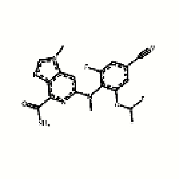 CN(c1cc2c(ncn2C)c(C(N)=O)n1)c1c(F)cc(C#N)cc1OC(F)F